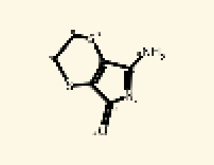 NC1=NC(=O)C2=C1SCCS2